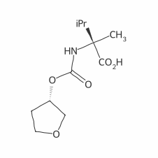 CC(C)[C@](C)(NC(=O)O[C@H]1CCOC1)C(=O)O